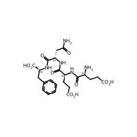 NC(=O)C[C@H](NC(=O)[C@H](CCC(=O)O)NC(=O)[C@@H](N)CCC(=O)O)C(=O)N[C@@H](Cc1ccccc1)C(=O)O